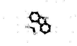 O=[C]O.c1ccc2c(c1)[nH]c1ccccc12